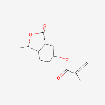 C=C(C)C(=O)OC1CCC2C(C)OC(=O)C2C1